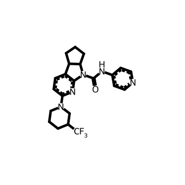 O=C(Nc1ccncc1)N1c2nc(N3CCCC(C(F)(F)F)C3)ccc2C2CCCC21